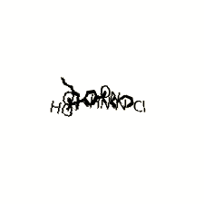 CCCCCC(C)(C(=O)O)c1ccc(C(=O)Nc2cn3cc(Cl)ccc3n2)cc1